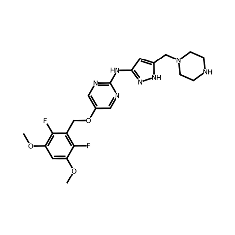 COc1cc(OC)c(F)c(COc2cnc(Nc3cc(CN4CCNCC4)[nH]n3)nc2)c1F